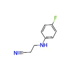 N#CCCNc1ccc(F)cc1